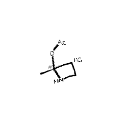 CC(=O)O[C@]1(C)CCN1.Cl